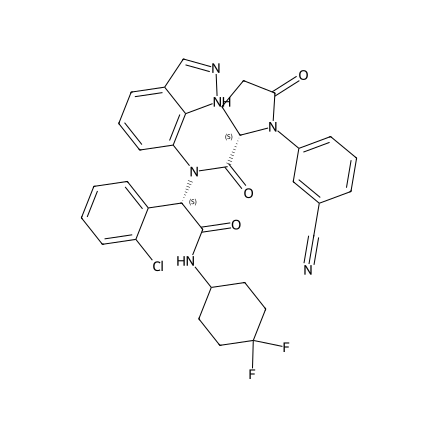 N#Cc1cccc(N2C(=O)CC[C@H]2C(=O)N(c2cccc3cn[nH]c23)[C@H](C(=O)NC2CCC(F)(F)CC2)c2ccccc2Cl)c1